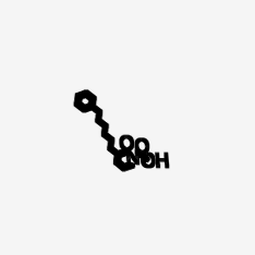 O=C(O)n1cccc(CCCCCCc2ccccc2)c1=O